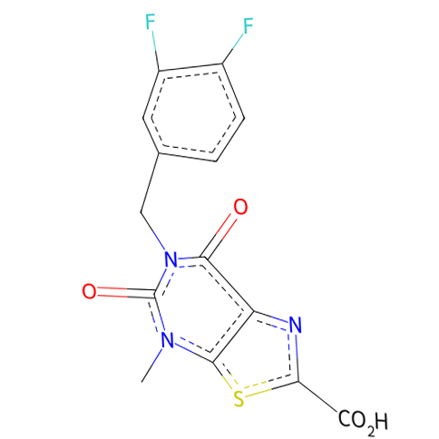 Cn1c(=O)n(Cc2ccc(F)c(F)c2)c(=O)c2nc(C(=O)O)sc21